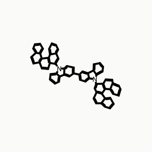 c1ccc2c(c1)ccc1ccc3c(-n4c5ccccc5c5cc(-c6ccc7c(c6)c6ccccc6n7-c6cc7ccc8ccccc8c7c7c6ccc6ccccc67)ccc54)cc4ccccc4c3c12